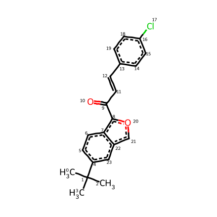 CC(C)(C)c1ccc2c(C(=O)C=Cc3ccc(Cl)cc3)occ2c1